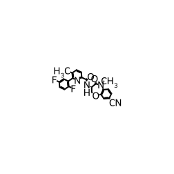 Cc1ccc(C(=O)N[C@H]2COc3cc(C#N)ccc3N(C)C2=O)nc1-c1cc(F)ccc1F